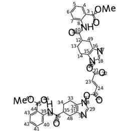 COC(=O)c1ccccc1NC(=O)C1CCc2c(ncn2OC(=O)/C=C/C(=O)On2cnc3c2CCC(C(=O)Nc2ccccc2C(=O)OC)C3)C1